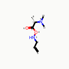 C=CCNOC(=O)[C@H](C)N(C)C